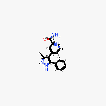 Cc1n[nH]c(-c2ccccc2)c1-c1ccnc(C(N)=O)c1